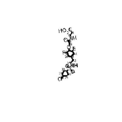 O=C(O)CCNC(=O)COc1c(F)cc(CCNS(=O)(=O)c2ccc(Cl)cc2)cc1F